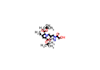 C=C[C@@H]1C[C@H](C(=O)OC(C)(C)C)N(CC(C)CNC(=O)CO)[C@H]1C(=O)OC(C)(C)C